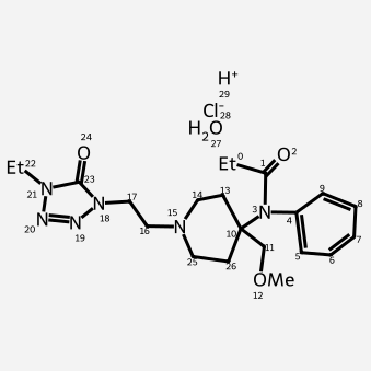 CCC(=O)N(c1ccccc1)C1(COC)CCN(CCn2nnn(CC)c2=O)CC1.O.[Cl-].[H+]